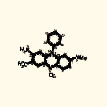 CNc1ccc2nc3cc(C)c(N)cc3[n+](-c3ccccc3)c2c1.[Cl-]